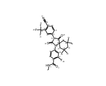 CNC(=O)c1ccc(N2C(=S)N(c3ccc(C#N)c(C(F)(F)F)c3)C(=O)C23CC(C)(C)CC(C)(C)C3)cc1F